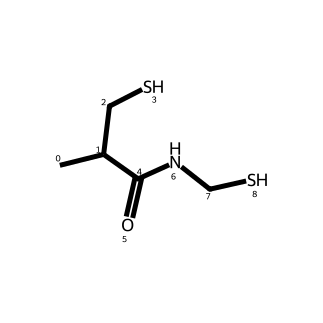 CC(CS)C(=O)NCS